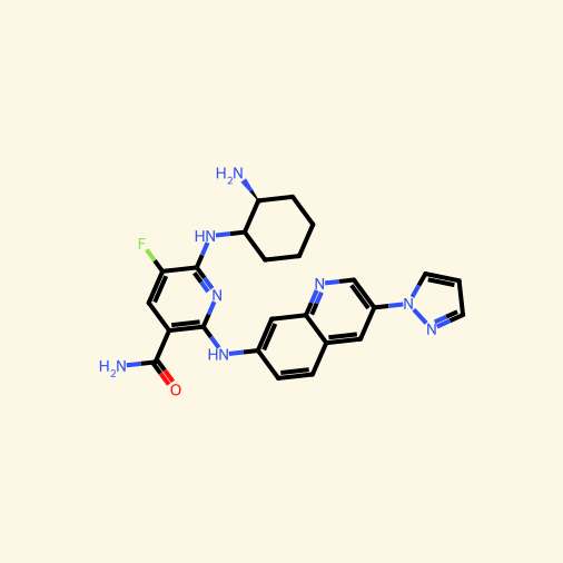 NC(=O)c1cc(F)c(NC2CCCC[C@@H]2N)nc1Nc1ccc2cc(-n3cccn3)cnc2c1